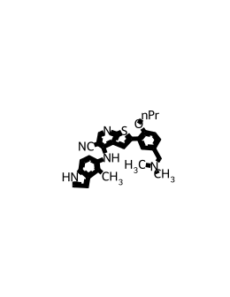 CCCOc1ccc(CN(C)C)cc1-c1cc2c(Nc3ccc4[nH]ccc4c3C)c(C#N)cnc2s1